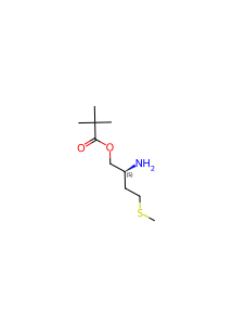 CSCC[C@H](N)COC(=O)C(C)(C)C